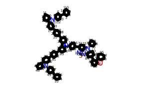 c1ccc(-c2ccc(-n3c4ccccc4c4ccc(-c5ccc(-c6ccc7c(c6)c6cc(-c8ccc(-c9ccc%10c%11ccccc%11n(-c%11ccc(-c%12ccccc%12)cc%11)c%10c9)cc8)ccc6n7-c6ccc(-c7ccc(N(c8ccccc8)c8ccc(-c9cccc%10oc%11ccccc%11c9%10)cc8)c8nsnc78)cc6)cc5)cc43)cc2)cc1